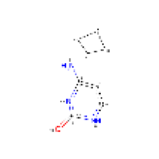 C1CCC1.Nc1cc[nH]c(=O)n1